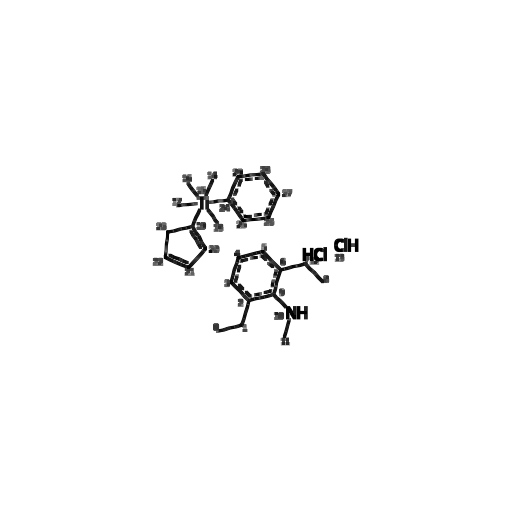 CCc1cccc(CC)c1NC.Cl.Cl.[CH3][Ti]([CH3])([CH3])([CH3])([C]1=CC=CC1)[c]1ccccc1